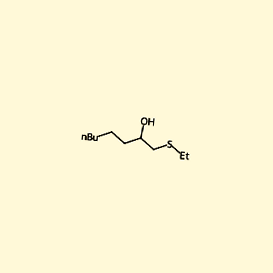 CCCCCCC(O)CSCC